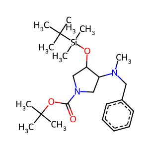 CN(Cc1ccccc1)C1CN(C(=O)OC(C)(C)C)CC1O[Si](C)(C)C(C)(C)C